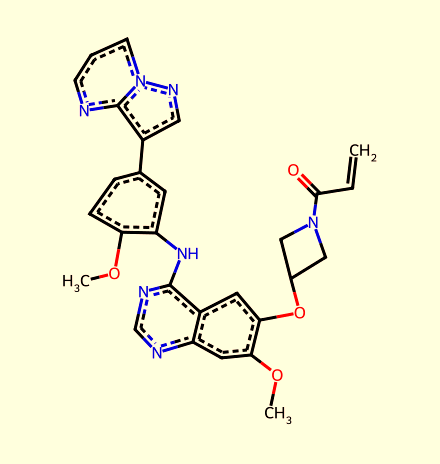 C=CC(=O)N1CC(Oc2cc3c(Nc4cc(-c5cnn6cccnc56)ccc4OC)ncnc3cc2OC)C1